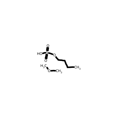 CCCCOS(=O)(=O)O.COC